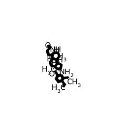 CCc1ccc(C(=O)[C@H]2CC[C@H]3[C@@H]4CC[C@H]5NC(=O)C=C[C@]5(C)[C@H]4CC[C@]23C)c(N)c1CC